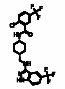 O=C(N[C@H]1CC[C@H](CNc2n[nH]c3ccc(C(F)(F)F)cc23)CC1)c1cc(C(F)(F)F)ccc1Cl